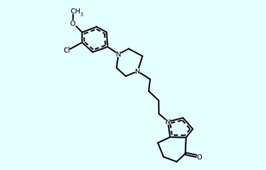 COc1ccc(N2CCN(CCCCn3ccc4c3CCCC4=O)CC2)cc1Cl